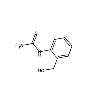 NC(=S)Nc1ccccc1CO